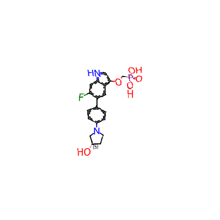 O=P(O)(O)COc1c[nH]c2cc(F)c(-c3ccc(N4CC[C@H](O)C4)cc3)cc12